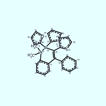 C[N+]1(C)c2ccccc2C(c2ccccc2)=C(c2cccs2)[B-]1(c1cccs1)c1cccs1